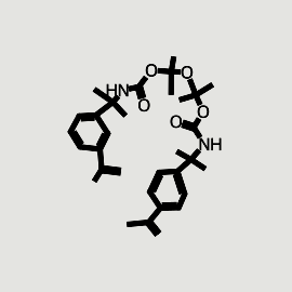 C=C(C)c1ccc(C(C)(C)NC(=O)OC(C)(C)OC(C)(C)OC(=O)NC(C)(C)c2cccc(C(=C)C)c2)cc1